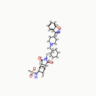 CC1C2CC(C1NS(C)(=O)=O)C1C(=O)N(C[C@H]3CCCC[C@@H]3CN3CCC(c4noc5ccccc45)CC3)C(=O)C21